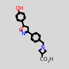 O=C(O)C1CN(Cc2ccc(C3=NOC(c4ccc(O)cc4)C3)cc2)C1